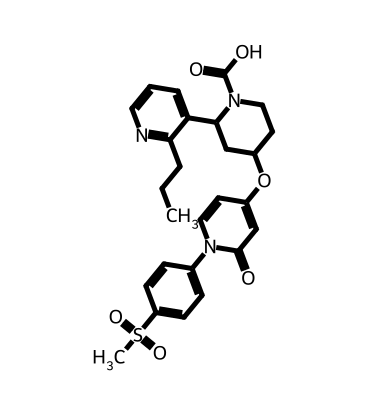 CCCc1ncccc1C1CC(Oc2ccn(-c3ccc(S(C)(=O)=O)cc3)c(=O)c2)CCN1C(=O)O